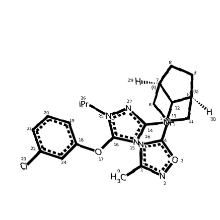 Cc1noc(N2C[C@H]3CC[C@@H](C2)C3Nc2nc(Oc3cccc(Cl)c3)n(C(C)C)n2)n1